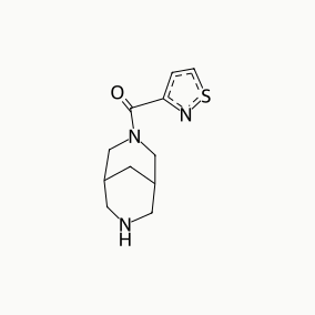 O=C(c1ccsn1)N1CC2CNCC(C2)C1